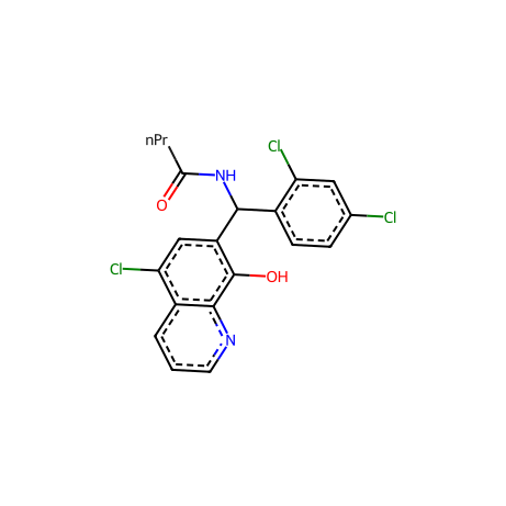 CCCC(=O)NC(c1ccc(Cl)cc1Cl)c1cc(Cl)c2cccnc2c1O